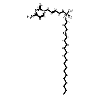 CCCCCCCCCCCCCCCCOCCCOP(=O)(O)CC/C=C/Cn1ccc(N)nc1=O